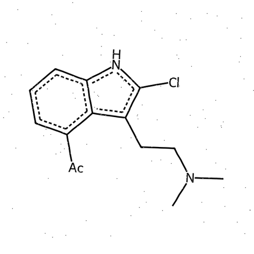 CC(=O)c1cccc2[nH]c(Cl)c(CCN(C)C)c12